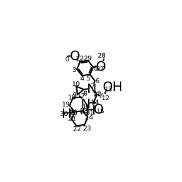 COc1ccc(CN(C2CC2)[C@H](CO)C(=O)N2CCC[C@H]3CCCC[C@@H]32)c(OC)c1